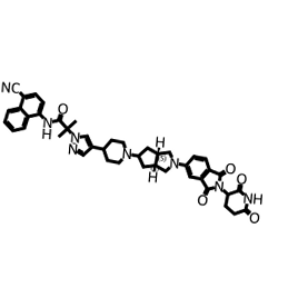 CC(C)(C(=O)Nc1ccc(C#N)c2ccccc12)n1cc(C2CCN(C3C[C@@H]4CN(c5ccc6c(c5)C(=O)N(C5CCC(=O)NC5=O)C6=O)C[C@@H]4C3)CC2)cn1